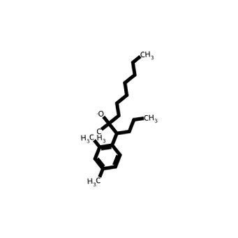 CCCCCCCC(C)([O])C(CCC)c1ccc(C)cc1C